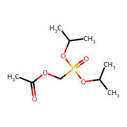 CC(=O)OCP(=O)(OC(C)C)OC(C)C